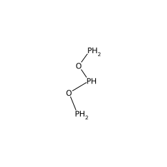 POPOP